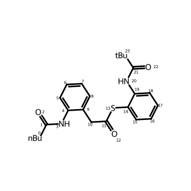 CCCCC(=O)Nc1ccccc1CC(=O)Sc1ccccc1NC(=O)C(C)(C)C